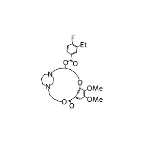 CCc1cc(C(=O)OC2CCCOc3cc(cc(OC)c3OC)C(=O)OCCCN3CCCN(CC2)CC3)ccc1F